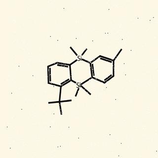 Cc1ccc2c(c1)[Si](C)(C)c1cccc(C(C)(C)C)c1[Si]2(C)C